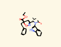 CCOC(=O)C1(Cc2ccccc2)CC([C@H](C(C)C)N(C(C)=O)c2c[nH]c3ccccc23)=NO1